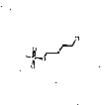 CS(=O)(=O)OC[CH]CCCl